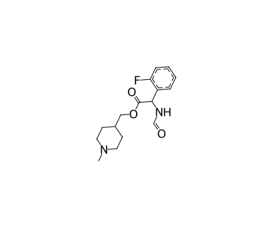 CN1CCC(COC(=O)C(NC=O)c2ccccc2F)CC1